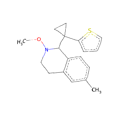 CON1CCc2cc(C)ccc2C1C1(c2cccs2)CC1